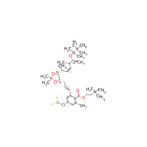 Cc1cc(OC(F)F)cc(/C=C/C[C@@H]2OC(C)(C)O[C@@H]2C(C)/C=C\C(C)[C@H](C)O[Si](C)(C)C(C)(C)C)c1C(=O)OCC[Si](C)(C)C